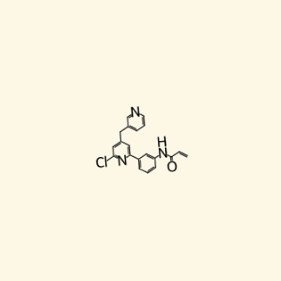 C=CC(=O)Nc1cccc(-c2cc(Cc3cccnc3)cc(Cl)n2)c1